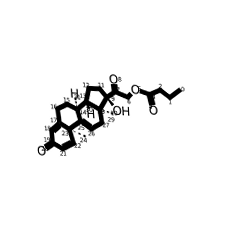 CCCC(=O)OCC(=O)[C@@]1(O)CC[C@H]2[C@@H]3CCC4=CC(=O)C=C[C@]4(C)C3=CC[C@@]21C